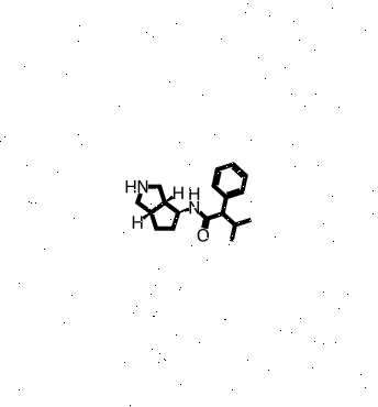 CC(C)C(C(=O)N[C@H]1CC[C@@H]2CNC[C@@H]21)c1ccccc1